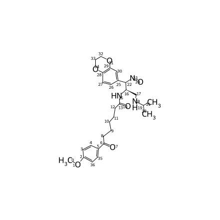 COc1ccc(C(=O)CCCCCC(=O)N[C@H](CNC(C)C)C(N=O)c2ccc3c(c2)OCCO3)cc1